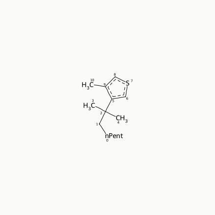 CCCCCCC(C)(C)c1cscc1C